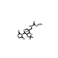 CC(C)(C)OC(=O)NCC12COC(N3C(=O)CSC3=O)(CO1)C1OC(C)(C)OC12